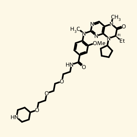 CC[C@@H]1C(=O)N(C)c2cnc(N(C)c3ccc(C(=O)NCCOCCOCCOC4CCNCC4)cc3OC)nc2N1C1CCCC1